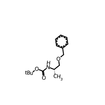 C[C@@H](COCc1ccccc1)NC(=O)OC(C)(C)C